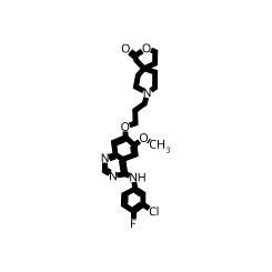 COc1cc2c(Nc3ccc(F)c(Cl)c3)ncnc2cc1OCCCN1CCC2(CCOC(=O)C2)CC1